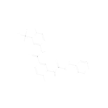 Cc1ccc(C(=O)Nc2ccc(F)c(C(F)(F)F)c2)cc1NC(=O)C=Cc1cccnc1